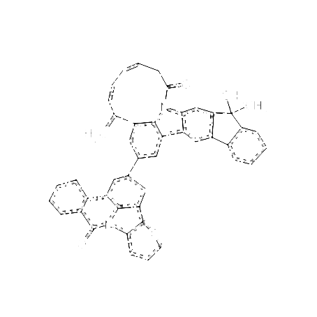 C=C1/C=C\C=C/CC(=O)n2c3cc4c(cc3c3cc(-c5cc6c7ccccc7c(=O)n7c8ccccc8c(c5)c67)cc1c32)-c1ccccc1C4(C)C